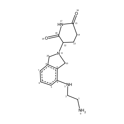 NCCNc1cccc2c1CN(C1CCC(=O)NC1=O)C2